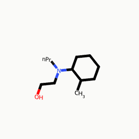 CCCN(CCO)C1CCCCC1C